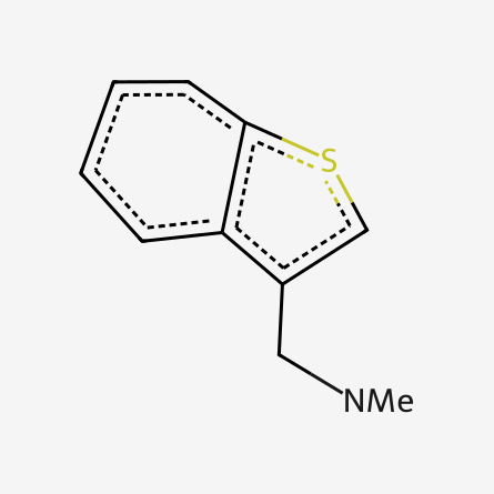 CNCc1csc2ccccc12